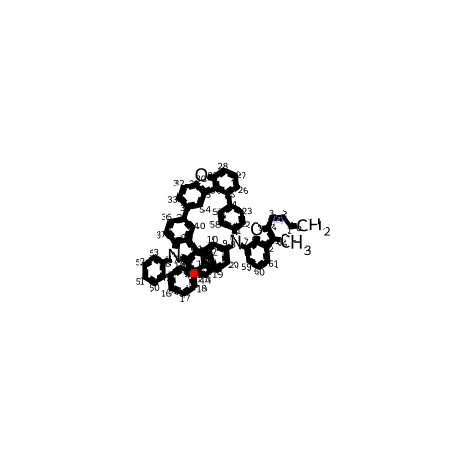 C=C/C=C\c1oc2c(N(c3ccc(-c4ccccc4)cc3)c3ccc(-c4cccc5oc6ccc(-c7ccc8c(c7)c7ccccc7n8-c7ccccc7)cc6c45)cc3)cccc2c1C